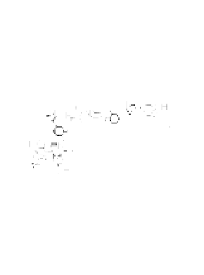 Cc1ncsc1-c1ccc(CNC(=O)[C@@H]2C[C@@H](O)CN2C(=O)[C@@H](NC(=O)C2(F)CC2)C(C)(C)C)c(OC2CCC(C(=O)N3CC(CNc4cccc(Sc5cnc(N6CCC(C)(CN)CC6)cn5)c4Cl)C3)CC2)c1